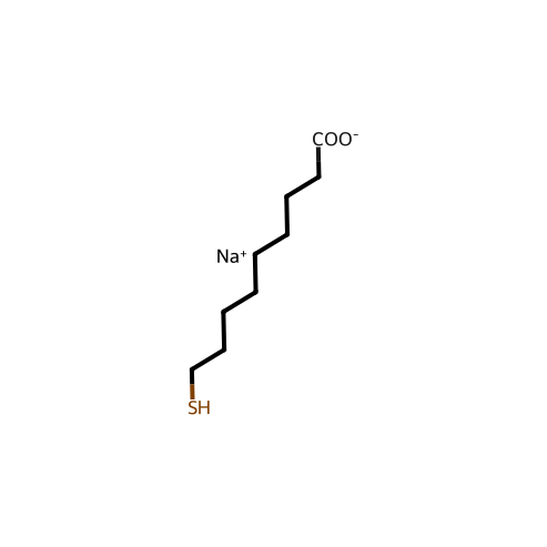 O=C([O-])CCCCCCCCS.[Na+]